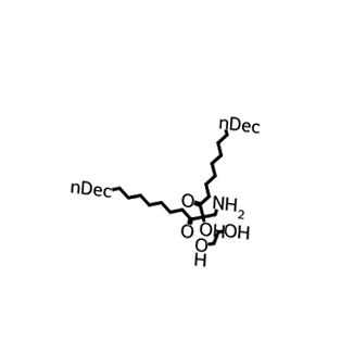 CCCCCCCCCCCCCCCCCC(=O)C(O)(CN)C(=O)CCCCCCCCCCCCCCCCC.OCCO